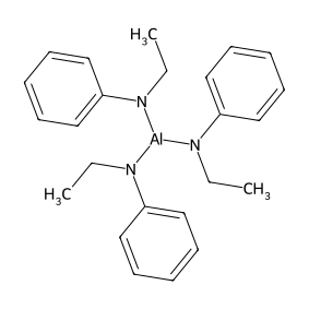 CC[N](c1ccccc1)[Al]([N](CC)c1ccccc1)[N](CC)c1ccccc1